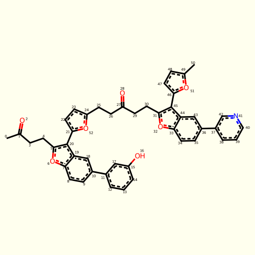 CC(=O)CCc1oc2ccc(-c3cccc(O)c3)cc2c1-c1ccc(CCC(=O)CCc2oc3ccc(-c4cccnc4)cc3c2-c2ccc(C)o2)o1